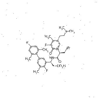 Cc1cc(-c2c(C)cc(F)cc2C)cc([C@H](CC(=O)O)NC(=O)[C@H](CC(C)C)n2cc(CCN(C)C)c(C)c(F)c2=O)c1F